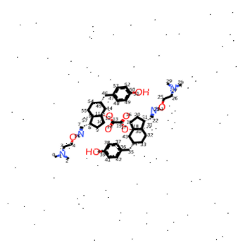 CN(C)CCON=C[C@H]1CC[C@]2(OC(=O)C(=O)O[C@]34CC[C@H](C=NOCCN(C)C)[C@@]3(C)CC[C@H](Cc3ccc(O)cc3)C4)C[C@@H](Cc3ccc(O)cc3)CC[C@]12C